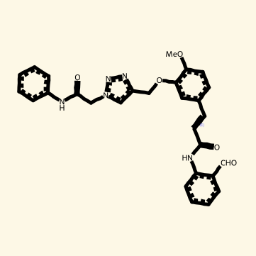 COc1ccc(/C=C/C(=O)Nc2ccccc2C=O)cc1OCc1cn(CC(=O)Nc2ccccc2)nn1